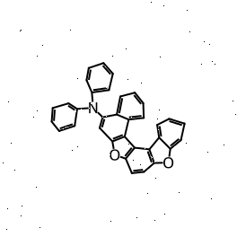 c1ccc(N(c2ccccc2)c2cc3oc4ccc5oc6ccccc6c5c4c3c3ccccc23)cc1